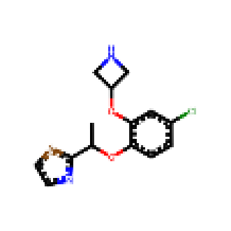 CC(Oc1ccc(Cl)cc1OC1CNC1)c1nccs1